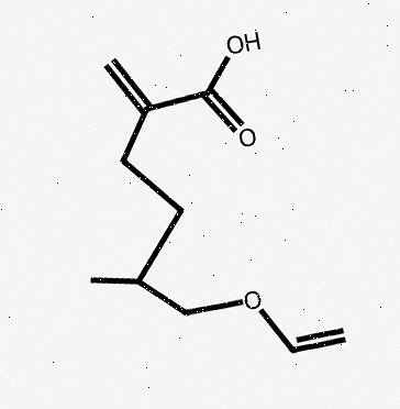 C=COCC(C)CCC(=C)C(=O)O